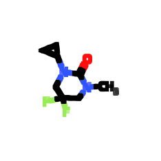 CN1CC(F)(F)CN(C2CC2)C1=O